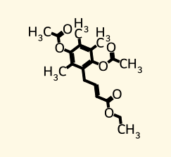 CCOC(=O)C=CCc1c(C)c(OC(C)=O)c(C)c(C)c1OC(C)=O